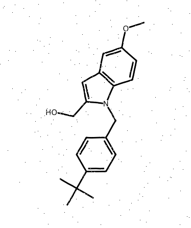 COc1ccc2c(c1)cc(CO)n2Cc1ccc(C(C)(C)C)cc1